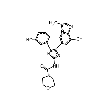 Cc1cc(-c2sc(NC(=O)N3CCOCC3)nc2-c2cccc(C#N)c2)cn2c(C)cnc12